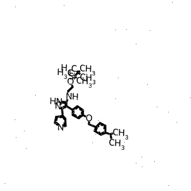 CC(C)c1ccc(COc2ccc(-c3c(-c4ccncc4)n[nH]c3NCCO[Si](C)(C)C(C)(C)C)cc2)cc1